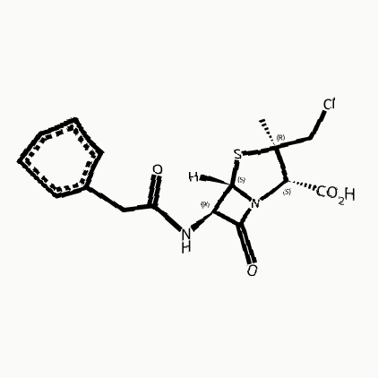 C[C@@]1(CCl)S[C@H]2[C@H](NC(=O)Cc3ccccc3)C(=O)N2[C@H]1C(=O)O